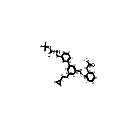 CC(C)(C)OC(=O)NCc1cccc(-c2cc(CCC3CC3)cc(COc3ccccc3CC(=O)O)c2)c1